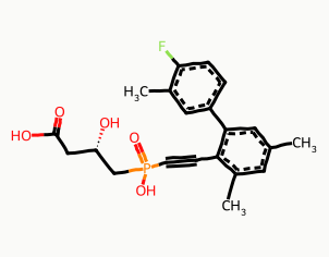 Cc1cc(C)c(C#CP(=O)(O)C[C@@H](O)CC(=O)O)c(-c2ccc(F)c(C)c2)c1